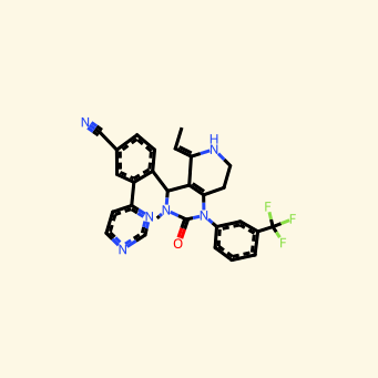 CC=C1NCCC2=C1C(c1ccc(C#N)cc1-c1ccncn1)N(C)C(=O)N2c1cccc(C(F)(F)F)c1